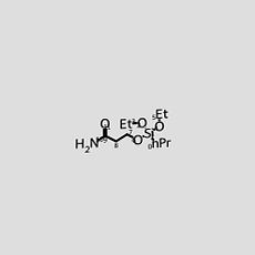 CCC[Si](OCC)(OCC)OCCC(N)=O